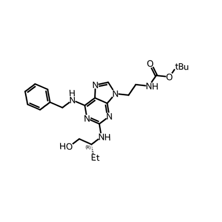 CC[C@H](CO)Nc1nc(NCc2ccccc2)c2ncn(CCNC(=O)OC(C)(C)C)c2n1